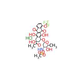 CC(=O)[C@]1(O)Cc2c(O)c3c(c(O)c2[C@@H](OC2CC(NOS(C)(=O)=O)C(O)C(C)O2)C1)C(=O)c1c(OC(F)(F)F)cccc1C3=O.Cl